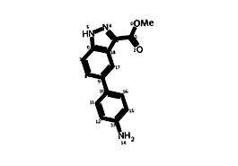 COC(=O)c1n[nH]c2ccc(-c3ccc(N)cc3)cc12